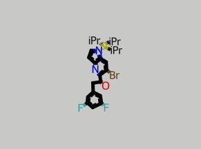 CC(C)S(C(C)C)(C(C)C)n1ccc2nc(C(=O)Cc3cc(F)cc(F)c3)c(Br)cc21